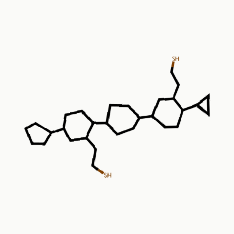 SCCC1CC(C2CCCC2)CCC1C1CCC(C2CCC(C3CC3)C(CCS)C2)CC1